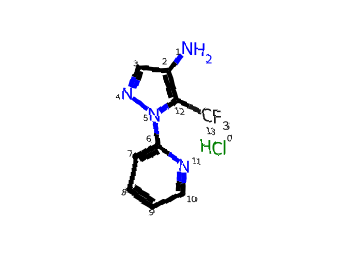 Cl.Nc1cnn(-c2ccccn2)c1C(F)(F)F